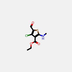 CCOC(=O)c1c(NC)sc(C=O)c1Cl